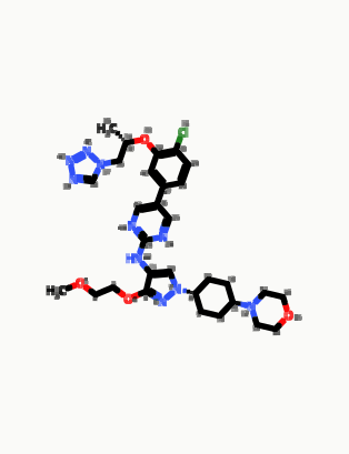 COCCOc1nn([C@H]2CC[C@H](N3CCOCC3)CC2)cc1Nc1ncc(-c2ccc(Cl)c(O[C@@H](C)Cn3cnnn3)c2)cn1